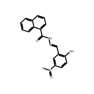 O=C(NN=Cc1cc([N+](=O)[O-])ccc1O)c1cccc2ccccc12